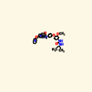 CCC(CC)NC(=O)Nc1ccc(Oc2ccc(NC(=O)c3ccc(OC4CC5CCC(C4)N5CCCN(C)C)cc3)cc2)c(OC)c1